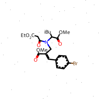 CCOC(=O)CC(=O)N(C/C(=C\c1ccc(Br)cc1)C(=O)OC)C(C(=O)OC)C(C)CC